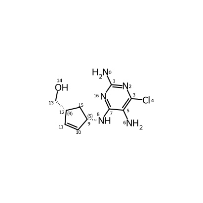 Nc1nc(Cl)c(N)c(N[C@@H]2C=C[C@H](CO)C2)n1